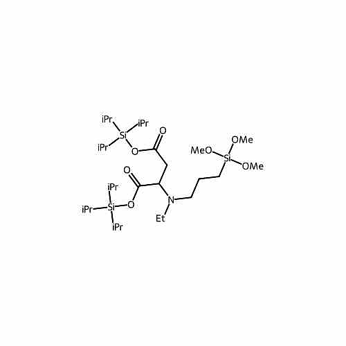 CCN(CCC[Si](OC)(OC)OC)C(CC(=O)O[Si](C(C)C)(C(C)C)C(C)C)C(=O)O[Si](C(C)C)(C(C)C)C(C)C